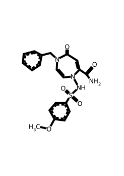 COc1ccc(S(=O)(=O)NN2C=CN(Cc3ccccc3)C(=O)C=C2C(N)=O)cc1